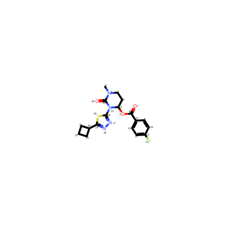 CN1CCC(OC(=O)c2ccc(F)cc2)N(c2nnc(C3CCC3)s2)C1=O